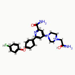 NC(=O)CN1CCN(c2cc(C(N)=O)nc(-c3ccc(Oc4ccc(F)cc4)cc3)c2)CC1